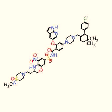 CN=S1(=O)CCN(CC[C@@H]2COc3cc(S(=O)(=O)NC(=O)c4ccc(N5CCN(CC6=C(c7ccc(Cl)cc7)CC(C)(C)CC6)CC5)cc4Oc4cnc5[nH]ccc5c4)cc([N+](=O)[O-])c3N2)CC1